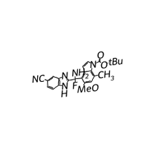 COc1cc(C)c2c(ccn2C(=O)OC(C)(C)C)c1C(N)(F)c1nc2cc(C#N)ccc2[nH]1